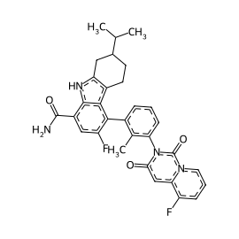 Cc1c(-c2c(F)cc(C(N)=O)c3[nH]c4c(c23)CCC(C(C)C)C4)cccc1-n1c(=O)cc2c(F)cccn2c1=O